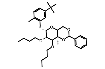 CCCCOC1[C@@H]2OC(c3ccccc3)OCC2O[C@@H](Sc2cc(C(C)(C)C)ccc2C)[C@H]1OCCCC